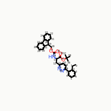 CCc1ccccc1-c1ccc(CC(NC(=O)OCC2c3ccccc3-c3ccccc32)C(=O)OC(C)(C)C)nn1